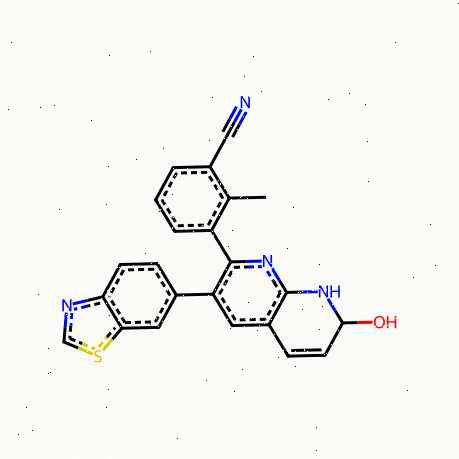 Cc1c(C#N)cccc1-c1nc2c(cc1-c1ccc3ncsc3c1)C=CC(O)N2